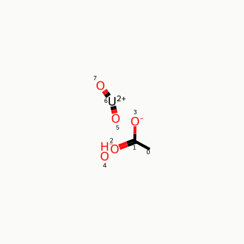 CC(=O)[O-].[OH-].[O]=[U+2]=[O]